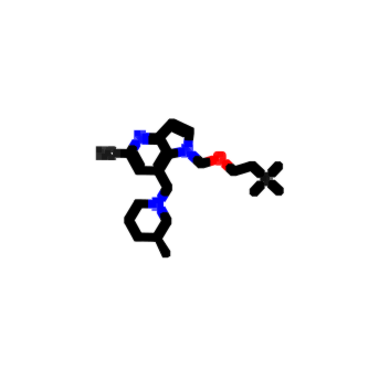 C[C@H]1CCCN(Cc2cc(C#N)nc3ccn(COCC[Si](C)(C)C)c23)C1